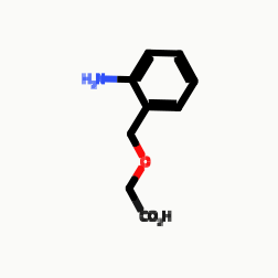 Nc1ccccc1COCC(=O)O